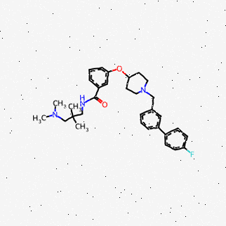 CN(C)CC(C)(C)CNC(=O)c1cccc(OC2CCN(Cc3cccc(-c4ccc(F)cc4)c3)CC2)c1